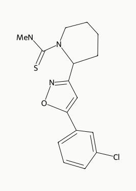 CNC(=S)N1CCCCC1c1cc(-c2cccc(Cl)c2)on1